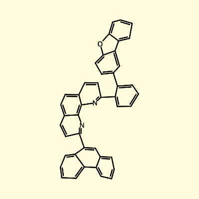 c1ccc(-c2ccc3ccc4ccc(-c5cc6ccccc6c6ccccc56)nc4c3n2)c(-c2ccc3oc4ccccc4c3c2)c1